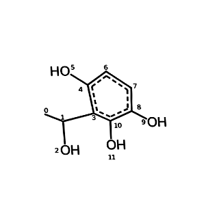 CC(O)c1c(O)ccc(O)c1O